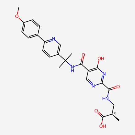 COc1ccc(-c2ccc(C(C)(C)NC(=O)c3cnc(C(=O)NC[C@@H](C)C(=O)O)nc3O)cn2)cc1